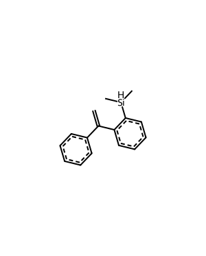 C=C(c1ccccc1)c1ccccc1[SiH](C)C